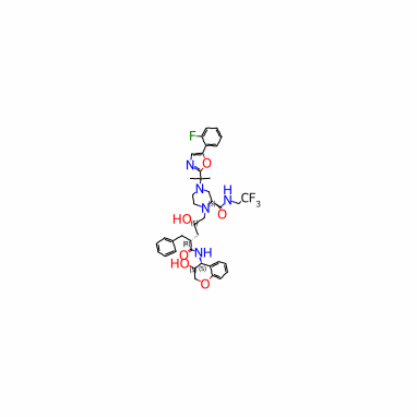 CC(C)(c1ncc(-c2ccccc2F)o1)N1CCN(C[C@@H](O)C[C@@H](Cc2ccccc2)C(=O)N[C@H]2c3ccccc3OC[C@H]2O)[C@H](C(=O)NCC(F)(F)F)C1